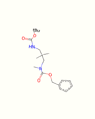 CN(CC(C)(C)CNC(=O)OC(C)(C)C)C(=O)OCc1ccccc1